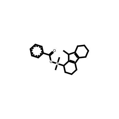 CC1C2=C(CCCC2)C2=C1[CH]([Ti]([CH3])([CH3])[O]C(=O)c1ccccc1)CCC2